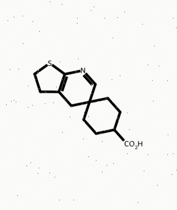 O=C(O)C1CCC2(C=NC3=C(CCS3)C2)CC1